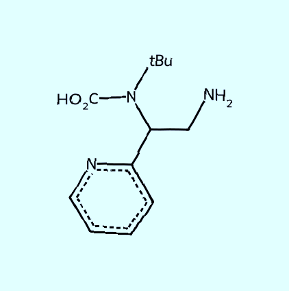 CC(C)(C)N(C(=O)O)C(CN)c1ccccn1